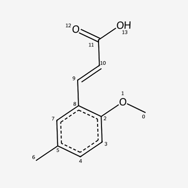 COc1ccc(C)cc1C=CC(=O)O